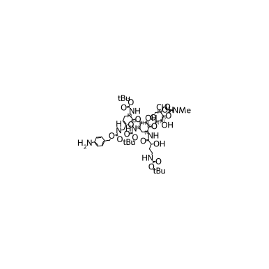 CNC(=O)O[C@@H]1[C@@H](O)[C@@H](O[C@@H]2[C@@H](O)[C@H](O[C@H]3OC(CNC(=O)OCc4ccc(N)cc4)=CC[C@H]3NC(=O)OC(C)(C)C)[C@@H](NC(=O)OC(C)(C)C)C[C@H]2NC(=O)C(O)CCNC(=O)OC(C)(C)C)OC[C@@]1(C)O